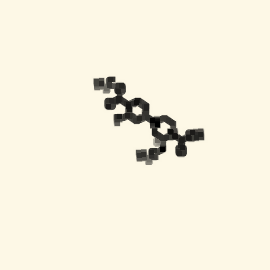 CC[C@H]1CN(c2ccc(C(=O)OC)c(F)c2)CCN1C(=O)O